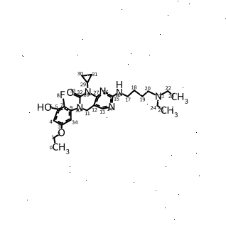 CCOc1cc(O)c(F)c(N2Cc3cnc(NCCCCN(CC)CC)nc3N(C3CC3)C2=O)c1